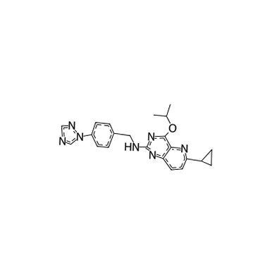 CC(C)Oc1nc(NCc2ccc(-n3cncn3)cc2)nc2ccc(C3CC3)nc12